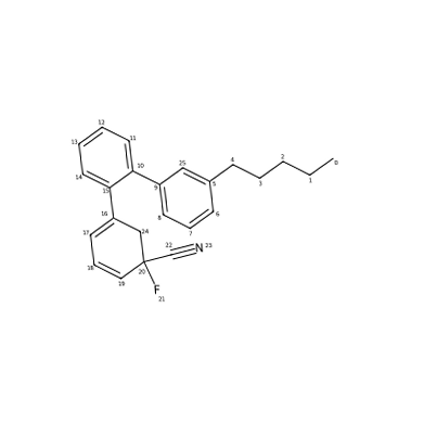 CCCCCc1cccc(-c2ccccc2C2=CC=CC(F)(C#N)C2)c1